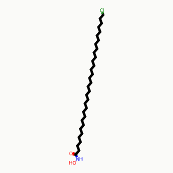 O=C(CCCCCCCCCCCCCCCCCCCCCCCCCCCCCCCCCCl)NO